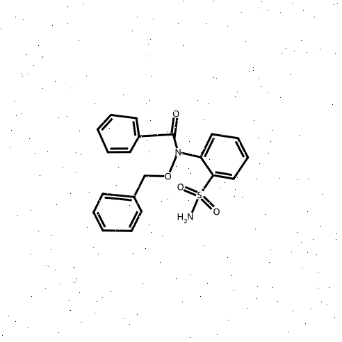 NS(=O)(=O)c1ccccc1N(OCc1ccccc1)C(=O)c1ccccc1